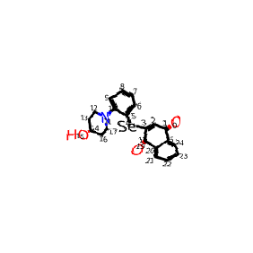 O=C1C=C([Se]c2ccccc2N2CCC(O)CC2)C(=O)c2ccccc21